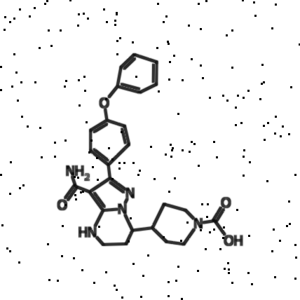 NC(=O)c1c(-c2ccc(Oc3ccccc3)cc2)nn2c1NCCC2C1CCN(C(=O)O)CC1